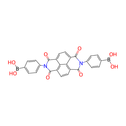 O=C1c2ccc3c4c(ccc(c24)C(=O)N1c1ccc(B(O)O)cc1)C(=O)N(c1ccc(B(O)O)cc1)C3=O